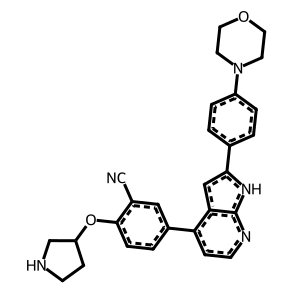 N#Cc1cc(-c2ccnc3[nH]c(-c4ccc(N5CCOCC5)cc4)cc23)ccc1OC1CCNC1